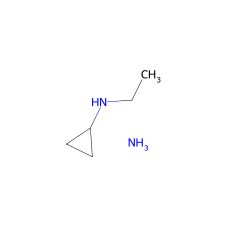 CCNC1CC1.N